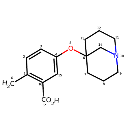 Cc1ccc(OC23CCCN(CCC2)C3)cc1C(=O)O